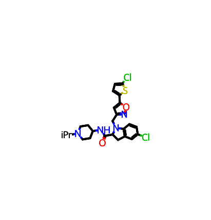 CC(C)N1CCC(NC(=O)C2Cc3cc(Cl)ccc3N2Cc2cc(-c3ccc(Cl)s3)on2)CC1